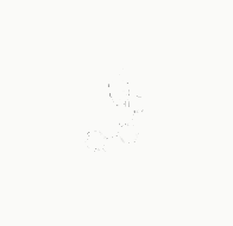 Cc1ccccc1-c1cccc(C(=O)N2C[C@]3(C)C[C@H]2CC(C)(C)C3)n1